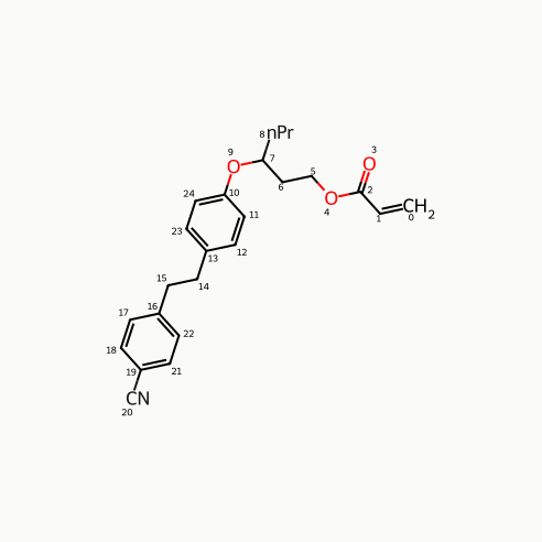 C=CC(=O)OCCC(CCC)Oc1ccc(CCc2ccc(C#N)cc2)cc1